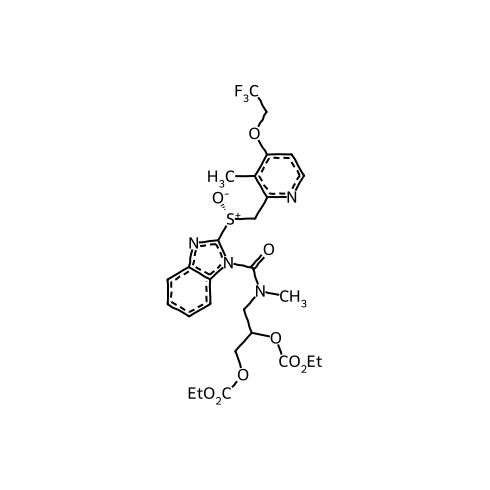 CCOC(=O)OCC(CN(C)C(=O)n1c([S@+]([O-])Cc2nccc(OCC(F)(F)F)c2C)nc2ccccc21)OC(=O)OCC